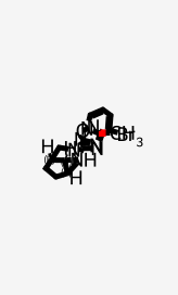 Cc1noc(N2C[C@H]3CC[C@@H](C2)[C@@H]3Nc2nc3c(Br)cccn3n2)n1